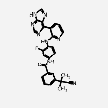 CC(C)(C#N)c1cccc(C(=O)Nc2ccc(Nc3ncccc3-c3ncnc4[nH]cnc34)c(F)c2)c1